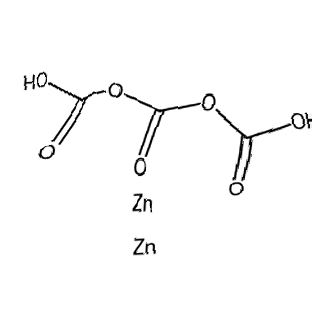 O=C(O)OC(=O)OC(=O)O.[Zn].[Zn]